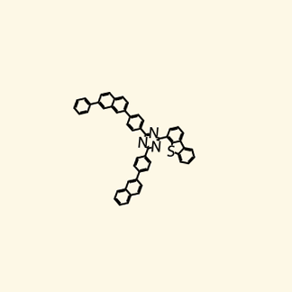 c1ccc(-c2ccc3ccc(-c4ccc(-c5nc(-c6ccc(-c7ccc8ccccc8c7)cc6)nc(-c6cccc7c6sc6ccccc67)n5)cc4)cc3c2)cc1